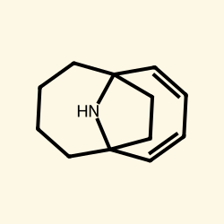 C1=CC23CCCCC(C=C1)(CC2)N3